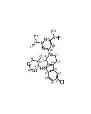 FC(F)c1nc(C(F)F)nc(N2CCc3c([nH]c4ccc(Cl)cc34)[C@@H]2CC2COCOC2)n1